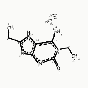 CCc1nc2nc(=O)n(CC)c(N)c2[nH]1.Cl.Cl